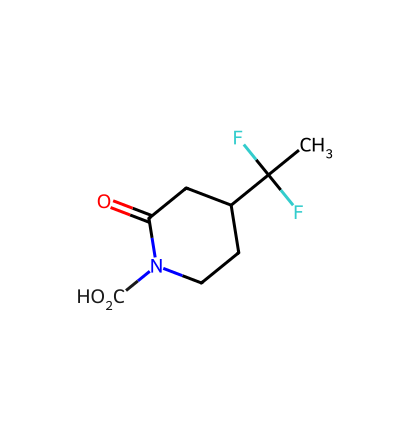 CC(F)(F)C1CCN(C(=O)O)C(=O)C1